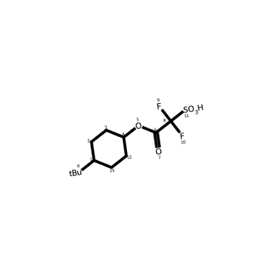 CC(C)(C)C1CCC(OC(=O)C(F)(F)S(=O)(=O)O)CC1